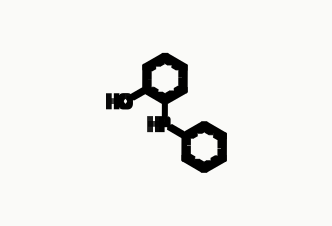 Oc1ccccc1Pc1ccccc1